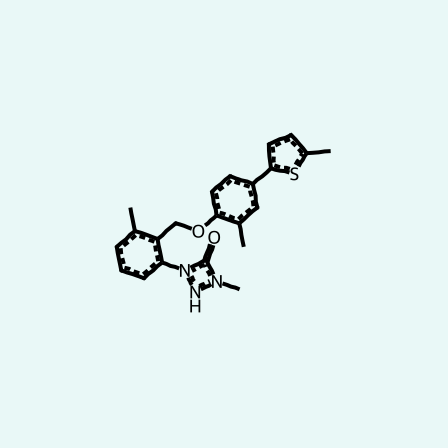 Cc1ccc(-c2ccc(OCc3c(C)cccc3-n3[nH]n(C)c3=O)c(C)c2)s1